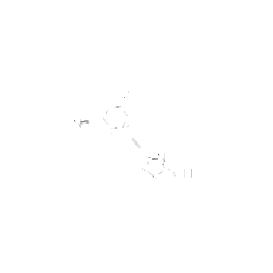 Cc1nc(C#Cc2cc(I)cc(C#N)c2)cs1